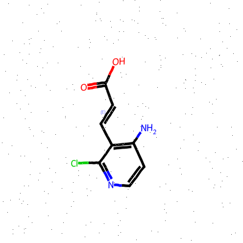 Nc1ccnc(Cl)c1/C=C/C(=O)O